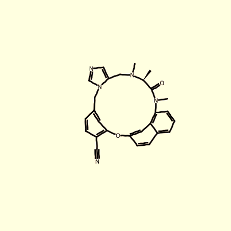 C[C@H]1C(=O)N(C)c2cccc3ccc(cc23)Oc2cc(ccc2C#N)Cn2cncc2CN1C